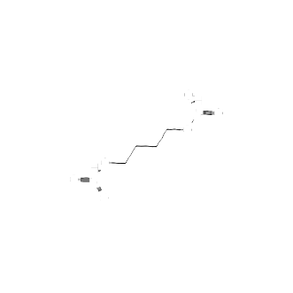 O=[SH](=O)OCCCCO[SH](=O)=O